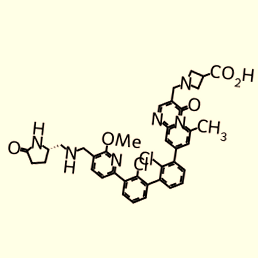 COc1nc(-c2cccc(-c3cccc(-c4cc(C)n5c(=O)c(CN6CC(C(=O)O)C6)cnc5c4)c3Cl)c2Cl)ccc1CNC[C@@H]1CCC(=O)N1